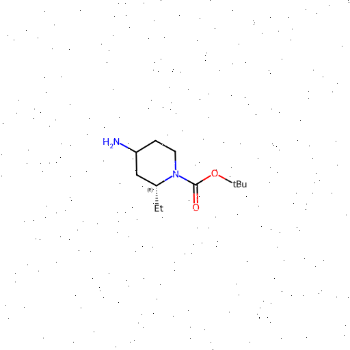 CC[C@@H]1CC(N)CCN1C(=O)OC(C)(C)C